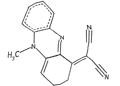 CN1C2=CCCC(=C(C#N)C#N)C2=Nc2ccccc21